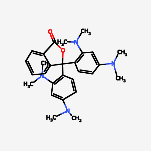 CN(C)c1ccc(C2(c3ccc(N(C)C)cc3N(C)C)OC(=O)c3ccccc32)c(N(C)C)c1